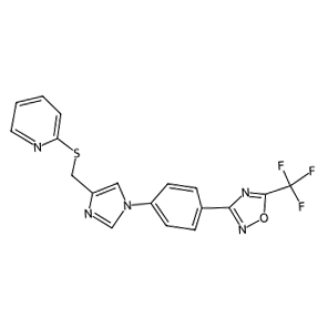 FC(F)(F)c1nc(-c2ccc(-n3cnc(CSc4ccccn4)c3)cc2)no1